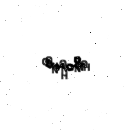 O=C(Nc1ccc(-c2n[nH]c(=O)c3ccccc23)cc1)c1cnn(C2CCS(=O)(=O)C2)c1